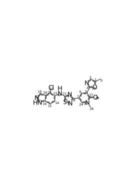 Cc1cnc(-c2cc(-c3nsc(Nc4ccc5[nH]ncc5c4Cl)n3)cn(C)c2=O)o1